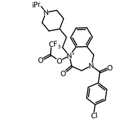 CC(C)N1CCC(CC[N+]2(OC(=O)C(F)(F)F)C(=O)CN(C(=O)c3ccc(Cl)cc3)Cc3ccccc32)CC1